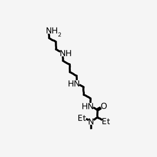 CCC(C(=O)NCCCNCCCCNCCCN)N(C)CC